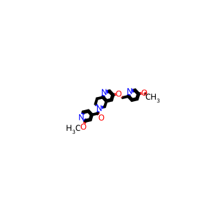 COc1ccc(COc2cnc3c(c2)CN(C(=O)c2ccnc(OC)c2)CC3)nc1